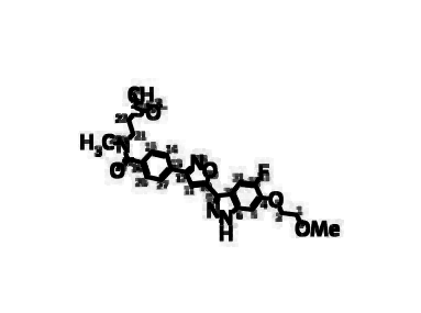 COCCOc1cc2[nH]nc(-c3cc(-c4ccc(C(=O)N(C)CC[S+](C)[O-])cc4)no3)c2cc1F